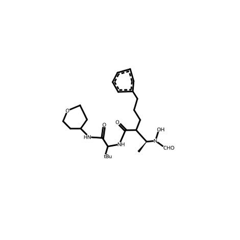 C[C@@H](C(CCCc1ccccc1)C(=O)NC(C(=O)NC1CCOCC1)C(C)(C)C)N(O)C=O